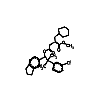 COC(=O)[C@@H](CC(=O)OC(c1ccc2c(c1)CCC2)C(C)(C)c1cccc(Cl)c1)CC1CCCCC1